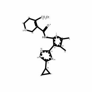 CCOC(=O)C1=C(C(=O)Nc2sc(C)c(C)c2-c2nc(C3CC3)no2)COCC1